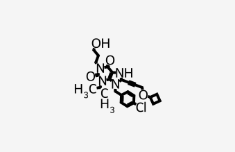 CC(C)n1c2c(c(=O)n(CCCO)c1=O)NC(C#CCOC1CCC1)N2Cc1ccc(Cl)cc1